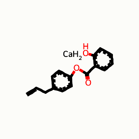 C=CCc1ccc(OC(=O)c2ccccc2O)cc1.[CaH2]